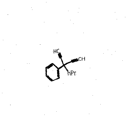 C#CC(C#C)(CCC)c1ccccc1